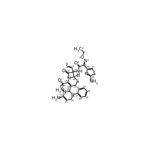 CCO/N=C(\C(=O)NC1(C=S)C(=O)N2C(C(=O)[O-])=C(C3=[N+](N)C(N)=CCN3c3ccccc3)CS[C@H]21)c1csc(N)n1